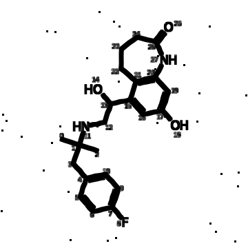 CC(C)(Cc1ccc(F)cc1)NCC(O)c1cc(O)cc2c1CCCC(=O)N2